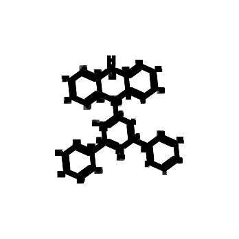 c1ccc(-c2cc(N3c4ccccc4Nc4ccccc43)nc(-c3ccccc3)n2)cc1